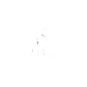 CC/C(=C/C(=O)O)CNC